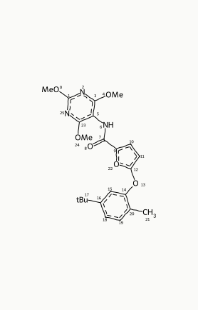 COc1nc(OC)c(NC(=O)c2ccc(Oc3cc(C(C)(C)C)ccc3C)o2)c(OC)n1